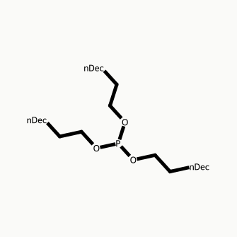 CCCCCCCCCCCCOP(OCCCCCCCCCCCC)OCCCCCCCCCCCC